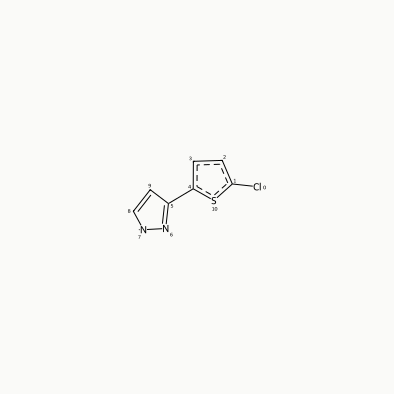 Clc1ccc(C2=N[N]C=C2)s1